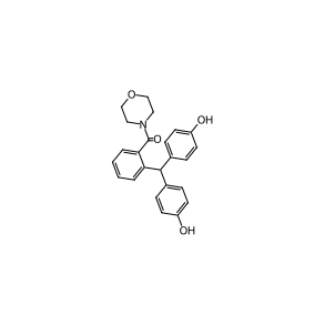 O=C(c1ccccc1C(c1ccc(O)cc1)c1ccc(O)cc1)N1CCOCC1